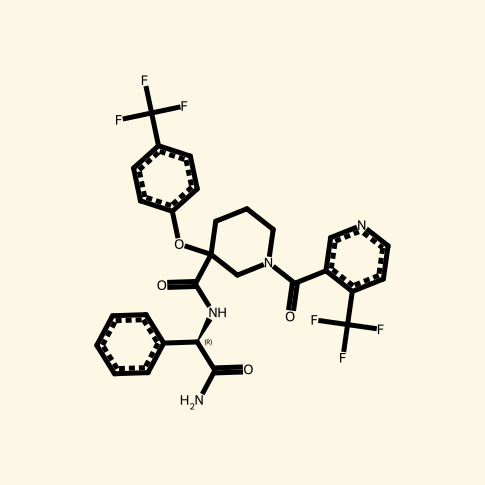 NC(=O)[C@H](NC(=O)C1(Oc2ccc(C(F)(F)F)cc2)CCCN(C(=O)c2cnccc2C(F)(F)F)C1)c1ccccc1